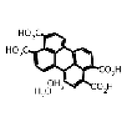 O.O.O=C(O)c1ccc2c3ccc(C(=O)O)c4c(C(=O)O)ccc(c5ccc(C(=O)O)c1c25)c43